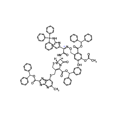 CC(=O)Oc1cc(C(=O)OC(c2ccccc2)c2ccccc2)c(CO/N=C(\C(=O)N[C@@H]2C(=O)N3C(C(=O)OC(c4ccccc4)c4ccccc4)=C(CSc4cc(C)nc5nc(C(=O)OC(c6ccccc6)c6ccccc6)nn45)CS[C@H]23)c2csc(NC(c3ccccc3)(c3ccccc3)c3ccccc3)n2)cc1O